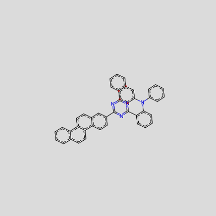 c1ccc(-c2nc(-c3ccc4c(ccc5c6ccccc6ccc45)c3)nc(-c3ccccc3N(c3ccccc3)c3ccccc3)n2)cc1